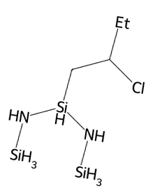 CCC(Cl)C[SiH](N[SiH3])N[SiH3]